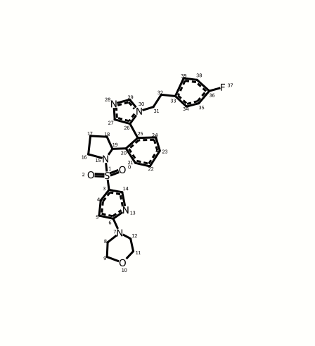 O=S(=O)(c1ccc(N2CCOCC2)nc1)N1CCCC1c1ccccc1-c1cncn1CCc1ccc(F)cc1